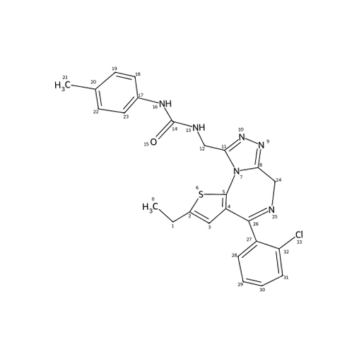 CCc1cc2c(s1)-n1c(nnc1CNC(=O)Nc1ccc(C)cc1)CN=C2c1ccccc1Cl